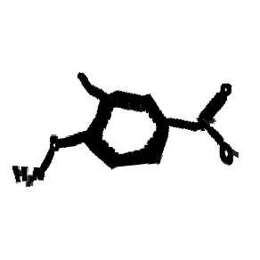 Cc1cc([N+](=O)[O-])ccc1ON